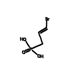 O=P(O)(O)CC=CBr